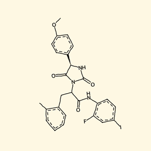 COc1ccc([C@H]2NC(=O)N(C(Cc3ccccc3C)C(=O)Nc3ccc(I)cc3F)C2=O)cc1